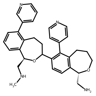 CNC[C@@H]1OC(c2ccc3c(c2-c2ccncc2)CCCO[C@@H]3CN)CCc2c(-c3cccnc3)cccc21